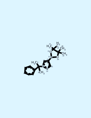 CC(C)(c1ccccc1)n1cc(B2OC(C)(C)C(C)(C)O2)cn1